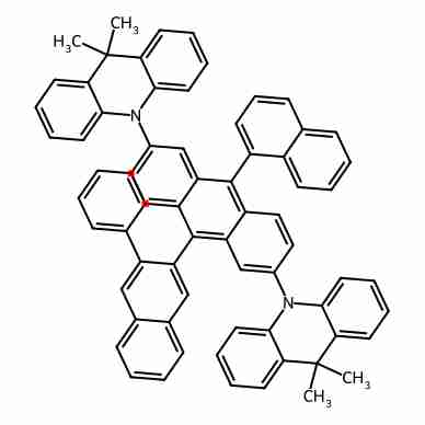 CC1(C)c2ccccc2N(c2ccc3c(-c4cccc5ccccc45)c4cc(N5c6ccccc6C(C)(C)c6ccccc65)ccc4c(-c4cc5ccccc5cc4-c4ccccc4)c3c2)c2ccccc21